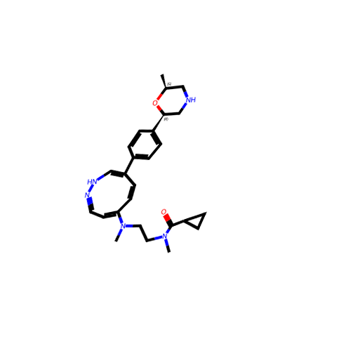 C[C@H]1CNC[C@@H](c2ccc(-c3ccc(N(C)CCN(C)C(=O)C4CC4)ccn[nH]c3)cc2)O1